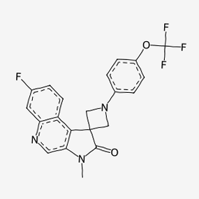 CN1C(=O)C2(CN(c3ccc(OC(F)(F)F)cc3)C2)c2c1cnc1cc(F)ccc21